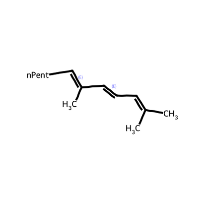 CCCCC/C=C(C)/C=C/C=C(C)C